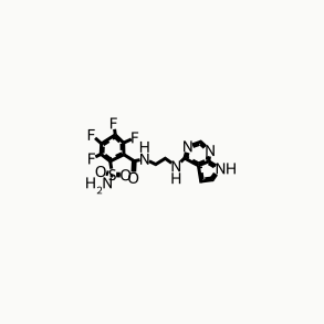 NS(=O)(=O)c1c(F)c(F)c(F)c(F)c1C(=O)NCCNc1ncnc2[nH]ccc12